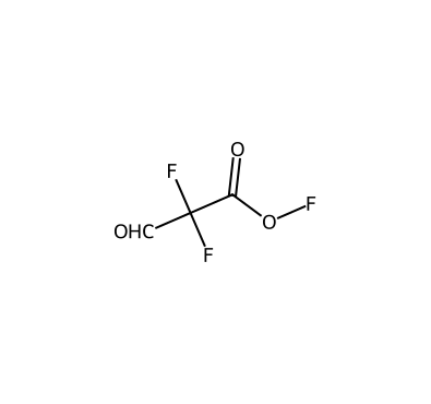 O=CC(F)(F)C(=O)OF